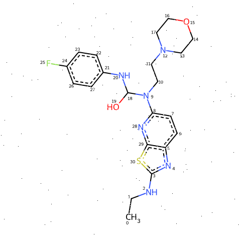 CCNc1nc2ccc(N(CCN3CCOCC3)C(O)Nc3ccc(F)cc3)nc2s1